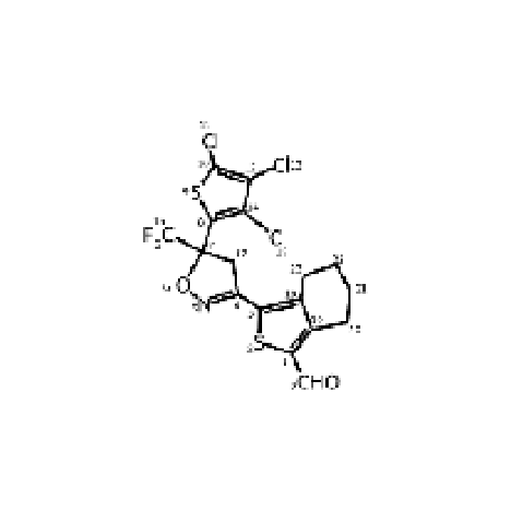 O=Cc1sc(C2=NOC(c3sc(Cl)c(Cl)c3Cl)(C(F)(F)F)C2)c2c1CCCC2